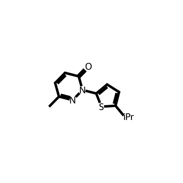 Cc1ccc(=O)n(-c2ccc(C(C)C)s2)n1